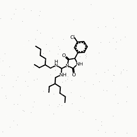 CCCCC(CC)CNC(NCC(CC)CCCC)N1C(=O)NC(c2cccc(Cl)c2)C1=O